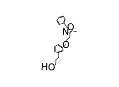 Cc1oc(-c2ccccc2)nc1CCOc1cccc(CCCO)c1